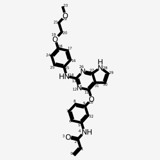 C=CC(=O)Nc1cccc(Oc2nc(Nc3ccc(OCCOC)cc3)nc3[nH]ccc23)c1